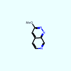 COc1cc2ccncc2nn1